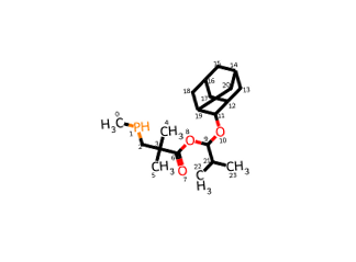 CPCC(C)(C)C(=O)OC(OC1C2CC3CC(C2)CC1C3)C(C)C